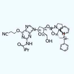 CC(C)C(=O)Nc1nc(OCCC#N)c2ncn([C@H]3C[C@@H](O[P@]4O[C@@H](C[Si](C)(c5ccccc5)c5ccccc5)[C@H]5CCCN54)[C@@H](CO)O3)c2n1